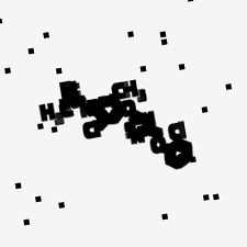 CCN(C)C=Nc1cc(C)c(Oc2nc(COc3ccccc3Cl)ns2)cc1Cl